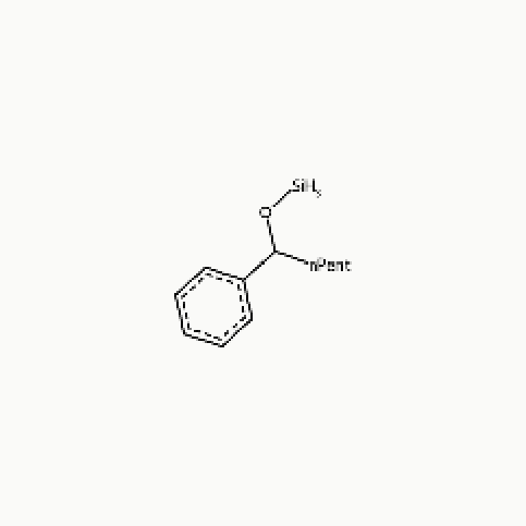 CCCCCC(O[SiH3])c1ccccc1